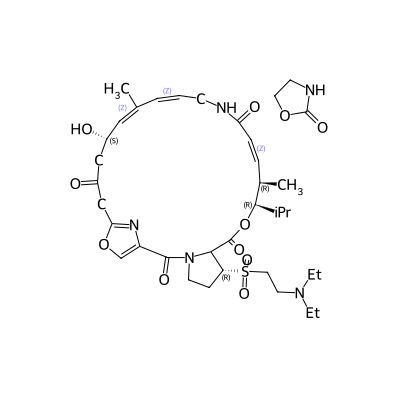 CCN(CC)CCS(=O)(=O)[C@@H]1CCN2C(=O)c3coc(n3)CC(=O)C[C@H](O)/C=C(C)\C=C/CNC(=O)/C=C\[C@@H](C)[C@@H](C(C)C)OC(=O)C12.O=C1NCCO1